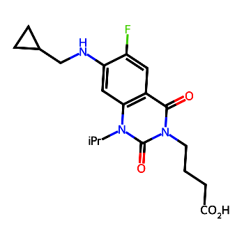 CC(C)n1c(=O)n(CCCC(=O)O)c(=O)c2cc(F)c(NCC3CC3)cc21